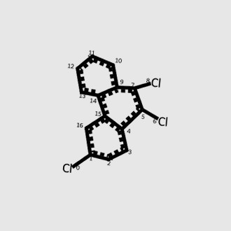 Clc1[c]cc2c(Cl)c(Cl)c3c[c]ccc3c2c1